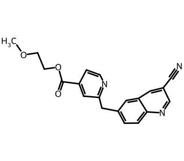 COCCOC(=O)c1ccnc(Cc2ccc3ncc(C#N)cc3c2)c1